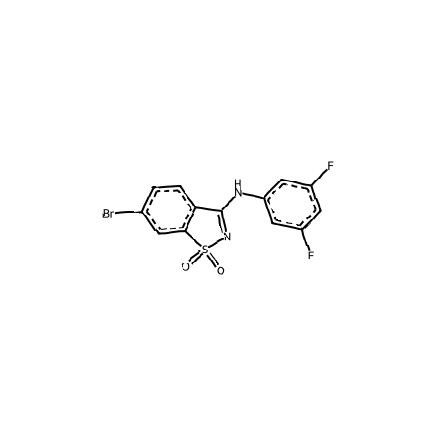 O=S1(=O)N=C(Nc2cc(F)cc(F)c2)c2ccc(Br)cc21